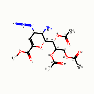 COC(=O)C1=C[C@H](N=[N+]=[N-])[C@@H](N)[C@H]([C@H](OC(C)=O)C(COC(C)=O)OC(C)=O)O1